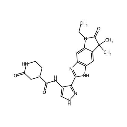 CCN1C(=O)C(C)(C)c2cc3[nH]c(-c4n[nH]cc4NC(=O)N4CCNC(=O)C4)nc3cc21